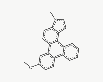 COc1ccc2c3ccccc3c3c(ccc4c3ccn4C)c2c1